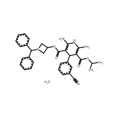 CC1=C(C(=O)OC(C)C)C(c2cccc(C#N)c2)C(C(=O)OC2CN(C(c3ccccc3)c3ccccc3)C2)=C(N)N1.O